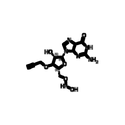 C#CCOC1[C@@H](COPO)O[C@@H](N2C=NC3C(=O)NC(N)=NC32)[C@H]1O